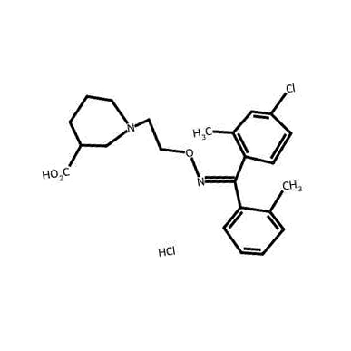 Cc1ccccc1/C(=N/OCCN1CCCC(C(=O)O)C1)c1ccc(Cl)cc1C.Cl